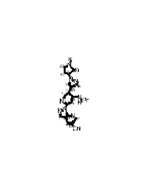 CC(C)Nc1cc(-n2ncc3cc(C#N)cnc32)ncc1-c1cn(C2CCN(C)C2=O)nn1